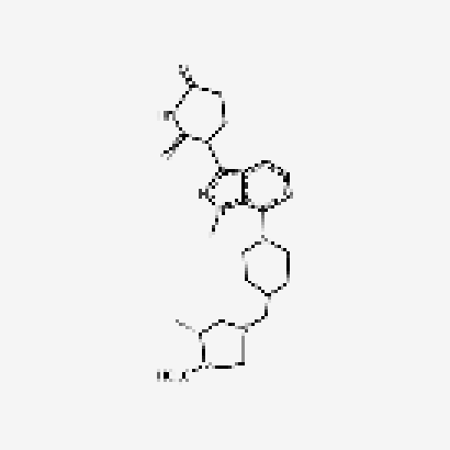 C[C@@H]1CN(CC2CCN(c3cccc4c(C5CCC(=O)NC5=O)nn(C)c34)CC2)CCN1C(=O)O